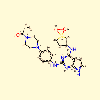 CC(=O)N1CCN(c2ccc(Nc3nc(NC4CCS5(C4)OO5)c4cc[nH]c4n3)cc2)CC1